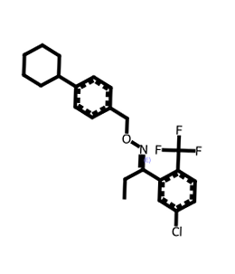 CC/C(=N\OCc1ccc(C2CCCCC2)cc1)c1cc(Cl)ccc1C(F)(F)F